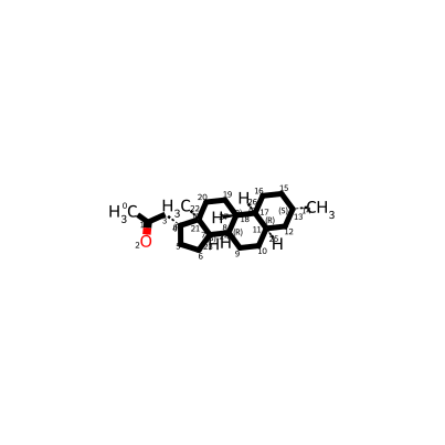 CC(=O)C[C@H]1CC[C@H]2[C@@H]3CC[C@@H]4C[C@@H](C)CC[C@@H]4[C@H]3CC[C@]12C